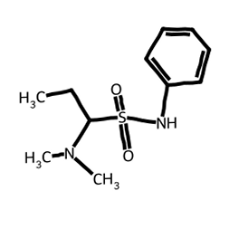 CCC(N(C)C)S(=O)(=O)Nc1ccccc1